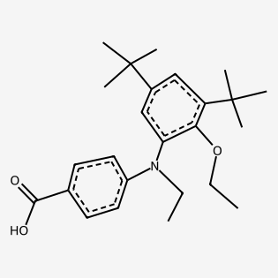 CCOc1c(N(CC)c2ccc(C(=O)O)cc2)cc(C(C)(C)C)cc1C(C)(C)C